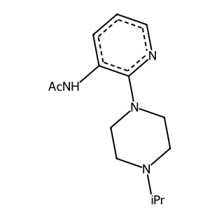 CC(=O)Nc1cccnc1N1CCN(C(C)C)CC1